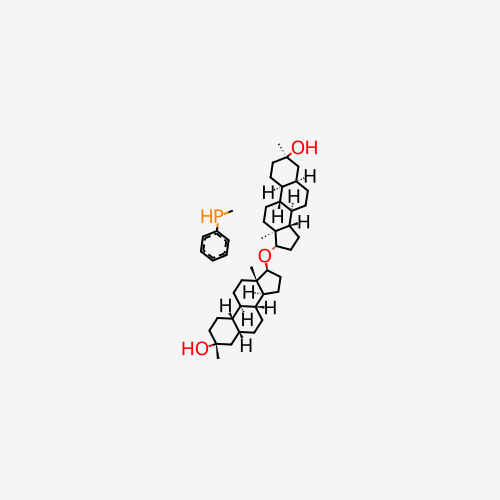 CPc1ccccc1.C[C@@]1(O)CC[C@H]2[C@H](CC[C@@H]3[C@@H]2CC[C@]2(C)[C@@H](O[C@H]4CC[C@H]5[C@@H]6CC[C@@H]7C[C@](C)(O)CC[C@@H]7[C@H]6CC[C@]45C)CC[C@@H]32)C1